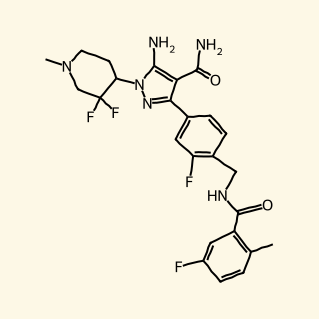 Cc1ccc(F)cc1C(=O)NCc1ccc(-c2nn(C3CCN(C)CC3(F)F)c(N)c2C(N)=O)cc1F